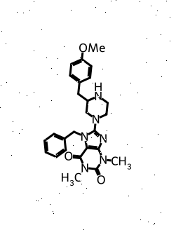 COc1ccc(CC2CN(c3nc4c(c(=O)n(C)c(=O)n4C)n3Cc3ccccc3)CCN2)cc1